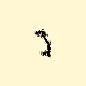 Cc1ncsc1-c1ccc(CNC(=O)[C@@H]2C[C@@H](O)CN2C(=O)[C@@H](NC(=O)CCCCCCNC(=O)CCC(=O)N2CCN(c3ncc(-c4cc(NC(=O)c5c[nH]c(=O)cc5C(F)(F)F)c(N5C[C@@H](C)N(C)[C@@H](C)C5)cc4F)cn3)CC2)C(C)(C)C)cc1